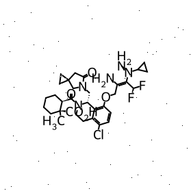 C[C@]1(C(=O)O)CCCC[C@H]1C(=O)N1CCc2c(Cl)ccc(OC/C(N)=C(\C(F)F)N(N)C3CC3)c2[C@H]1CN1CC2(CC2)CC1=O